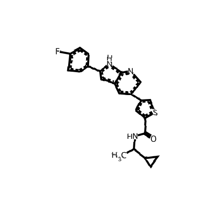 CC(NC(=O)c1cc(-c2cnc3[nH]c(-c4ccc(F)cc4)cc3c2)cs1)C1CC1